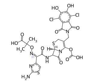 CC(C)(O/N=C(\C(=O)NC1C(=O)N2C(OC(=O)O)=C(CN3C(=O)c4c(Cl)c(O)c(O)c(Cl)c4C3=O)CS[C@@H]12)c1csc(N)n1)C(=O)O